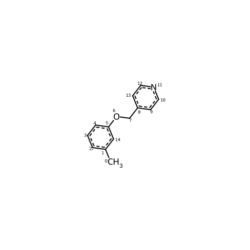 Cc1[c]ccc(OCc2ccncc2)c1